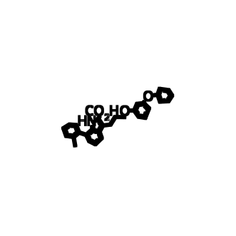 Cc1ccccc1-c1cccc2c(CCCOc3cccc(Oc4ccccc4)c3)c(C(=O)O)[nH]c12